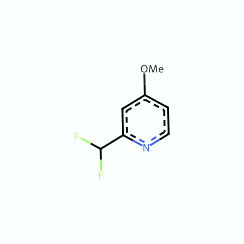 COc1ccnc(C(F)F)c1